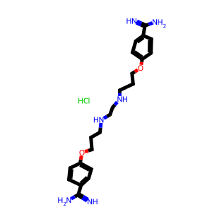 Cl.N=C(N)c1ccc(OCCCNCCNCCCOc2ccc(C(=N)N)cc2)cc1